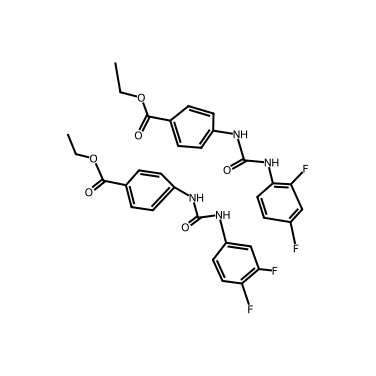 CCOC(=O)c1ccc(NC(=O)Nc2ccc(F)c(F)c2)cc1.CCOC(=O)c1ccc(NC(=O)Nc2ccc(F)cc2F)cc1